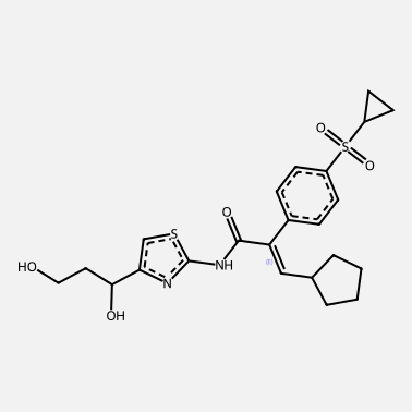 O=C(Nc1nc(C(O)CCO)cs1)/C(=C/C1CCCC1)c1ccc(S(=O)(=O)C2CC2)cc1